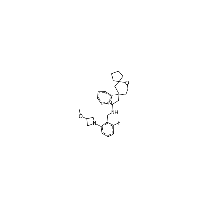 COC1CN(c2cccc(F)c2CNCCC2(c3ccccn3)CCOC3(CCCC3)C2)C1